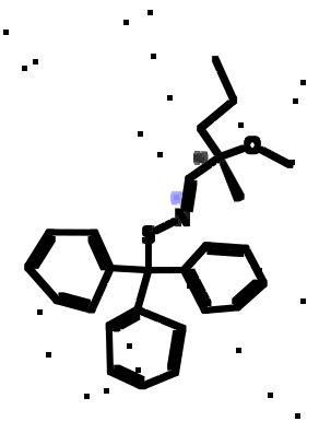 CCC[C@@](C)(/C=N/SC(c1ccccc1)(c1ccccc1)c1ccccc1)OC